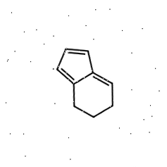 [C]1=C2CCCC=C2C=C1